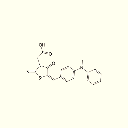 CN(c1ccccc1)c1ccc(C=C2SC(=S)N(CC(=O)O)C2=O)cc1